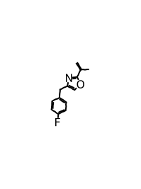 C=C(C)c1nc(Cc2ccc(F)cc2)co1